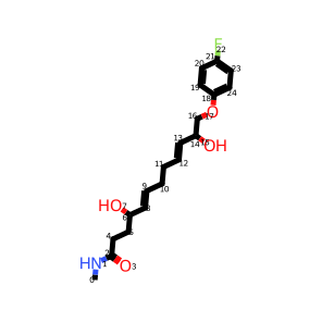 CNC(=O)CCC(O)C=CCCC=CC(O)COc1ccc(F)cc1